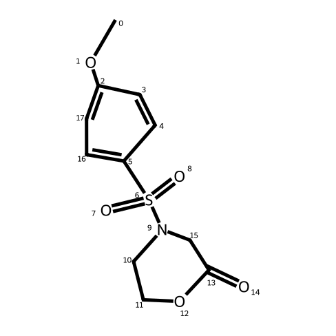 COc1ccc(S(=O)(=O)N2CCOC(=O)C2)cc1